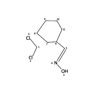 ClCCl.ON=CC1CCCCC1